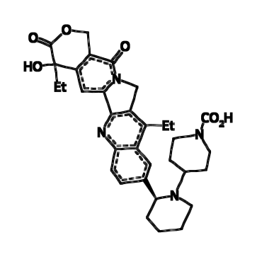 CCc1c2c(nc3ccc([C@@H]4CCCCN4C4CCN(C(=O)O)CC4)cc13)-c1cc3c(c(=O)n1C2)COC(=O)C3(O)CC